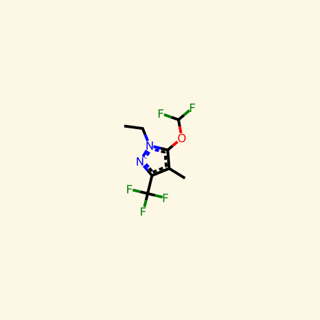 CCn1nc(C(F)(F)F)c(C)c1OC(F)F